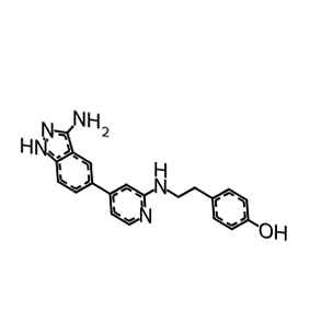 Nc1n[nH]c2ccc(-c3ccnc(NCCc4ccc(O)cc4)c3)cc12